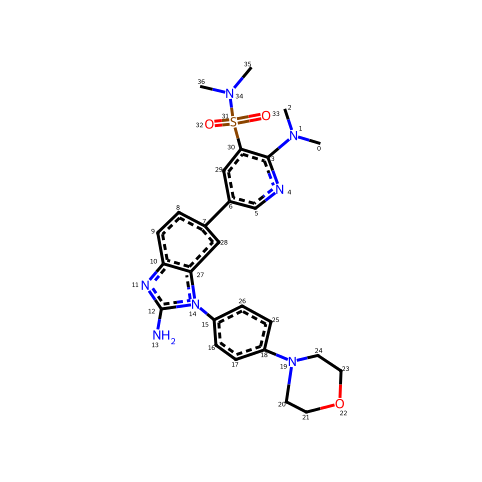 CN(C)c1ncc(-c2ccc3nc(N)n(-c4ccc(N5CCOCC5)cc4)c3c2)cc1S(=O)(=O)N(C)C